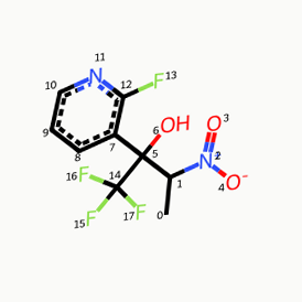 CC([N+](=O)[O-])C(O)(c1cccnc1F)C(F)(F)F